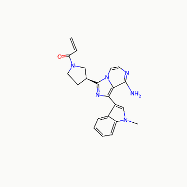 C=CC(=O)N1CC[C@H](c2nc(-c3cn(C)c4ccccc34)c3c(N)nccn23)C1